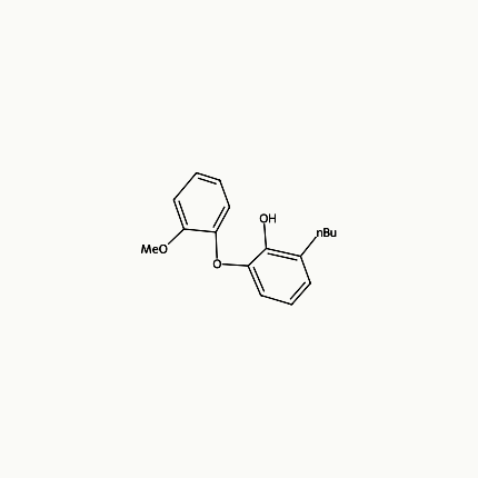 CCCCc1cccc(Oc2ccccc2OC)c1O